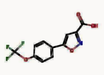 O=C(O)c1cc(-c2ccc(OC(F)(F)F)cc2)on1